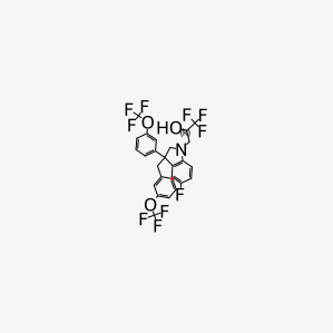 O[C@H](CN1CC(Cc2cccc(OC(F)(F)F)c2)(c2cccc(OC(F)(F)F)c2)c2cc(F)ccc21)C(F)(F)F